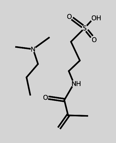 C=C(C)C(=O)NCCCS(=O)(=O)O.CCCN(C)C